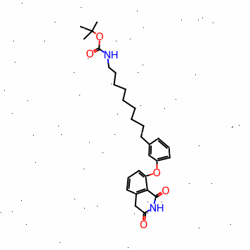 CC(C)(C)OC(=O)NCCCCCCCCCc1cccc(Oc2cccc3c2C(=O)NC(=O)C3)c1